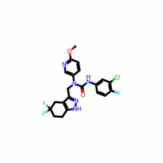 COc1ccc(N(Cc2n[nH]c3c2CC(F)(F)CC3)C(=O)Nc2ccc(F)c(Cl)c2)cn1